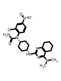 CN(C)c1nc(N[C@H]2CC[C@@H](N(C(N)=O)c3ccc([N+](=O)[O-])cc3Cl)CC2)nc2c1CCCC2